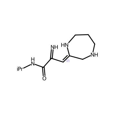 CC(C)NC(=O)C(=N)/C=C1/CNCCCN1